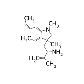 C=C(C)C(N)CC1(C)CN(C)C(=C/C=C\C)/C1=C\C